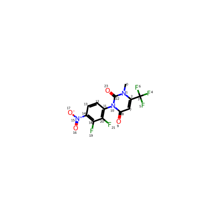 Cn1c(C(F)(F)F)cc(=O)n(-c2ccc([N+](=O)[O-])c(F)c2F)c1=O